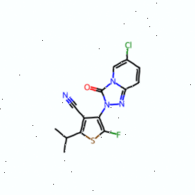 CC(C)c1sc(F)c(-n2nc3ccc(Cl)cn3c2=O)c1C#N